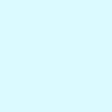 CC(C)c1cc(C(=O)N2CC3=C(CC(O)C=C3)C2)c(O)cc1O